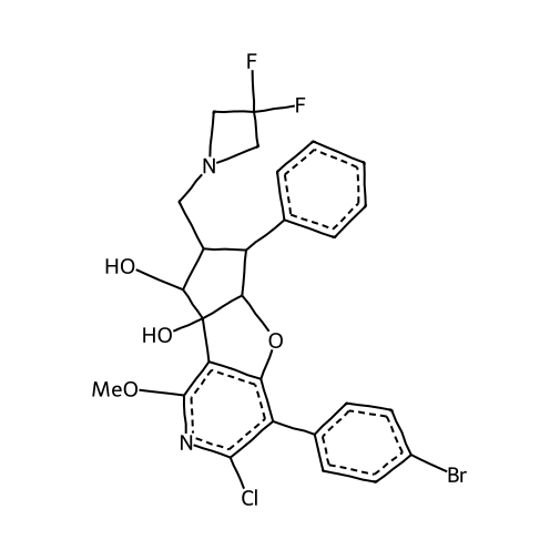 COc1nc(Cl)c(-c2ccc(Br)cc2)c2c1C1(O)C(O)C(CN3CC(F)(F)C3)C(c3ccccc3)C1O2